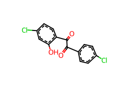 O=C(C(=O)c1ccc(Cl)cc1O)c1ccc(Cl)cc1